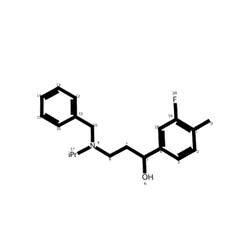 Cc1ccc(C(O)CCN(Cc2ccccc2)C(C)C)cc1F